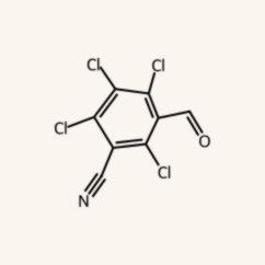 N#Cc1c(Cl)c(Cl)c(Cl)c(C=O)c1Cl